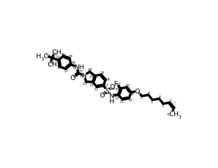 C/C=C\CCCCCOc1ccc(NS(=O)(=O)c2ccc3c(c2)CN(C(=O)Nc2ccc(C(C)(C)C)cc2)C3)c(F)c1